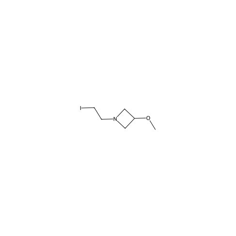 COC1CN(CCI)C1